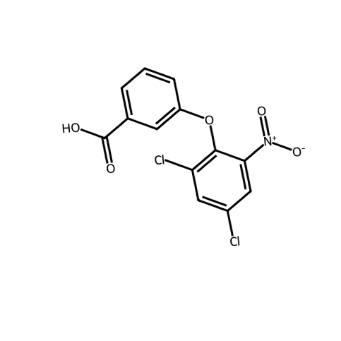 O=C(O)c1cccc(Oc2c(Cl)cc(Cl)cc2[N+](=O)[O-])c1